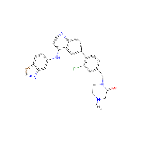 CN1CCN(Cc2ccc(-c3ccc4nccc(Nc5ccc6scnc6c5)c4c3)c(F)c2)C(=O)C1